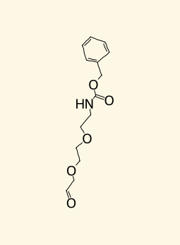 O=CCOCCOCCNC(=O)OCc1ccccc1